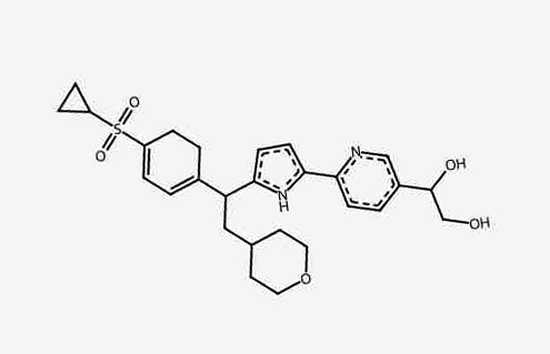 O=S(=O)(C1=CC=C(C(CC2CCOCC2)c2ccc(-c3ccc(C(O)CO)cn3)[nH]2)CC1)C1CC1